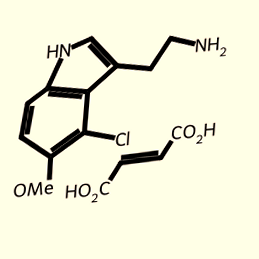 COc1ccc2[nH]cc(CCN)c2c1Cl.O=C(O)/C=C/C(=O)O